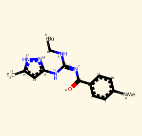 CNc1ccc(C(=O)/N=C(/NCC(C)(C)C)Nc2cc(C(F)(F)F)[nH]n2)cc1